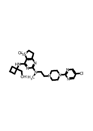 CN(CCN1CCN(c2ncc(Cl)cn2)CC1)c1nc2c(c(NC3(CO)CCC3)n1)[S@+]([O-])CC2